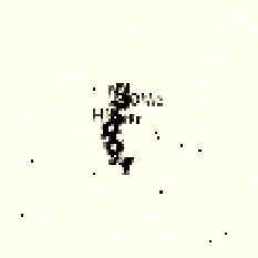 COc1cc(-c2[nH]c3ccc(C4CCC(N(C)C5CC5)CC4)cc3c2C(C)C)cn2ncnc12